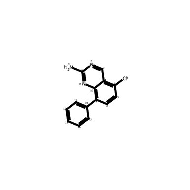 Nc1ncc2c(Cl)ccc(-c3ccccc3)c2n1